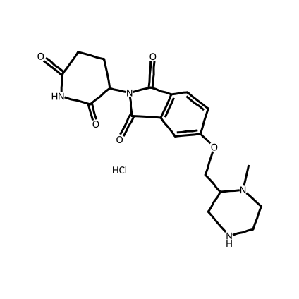 CN1CCNCC1COc1ccc2c(c1)C(=O)N(C1CCC(=O)NC1=O)C2=O.Cl